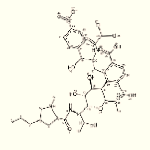 CCCC1CC(C(=O)N[C@H](C(C)Cl)[C@H]2O[C@H](SC)[C@H](c3c(C(=O)O)ccc(C(=O)O)c3CC(NC(=O)C(Cl)Cl)C(O)c3ccc([N+](=O)[O-])cc3)[C@H](O)[C@H]2O)N(C)C1